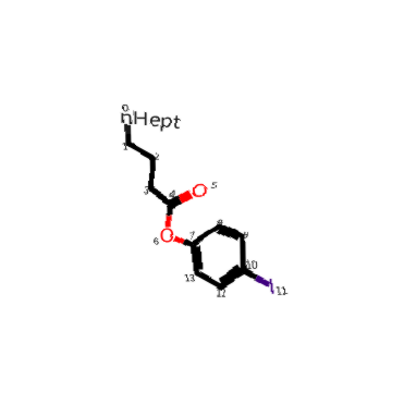 CCCCCCCCCCC(=O)Oc1ccc(I)cc1